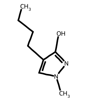 CCCCc1cn(C)nc1O